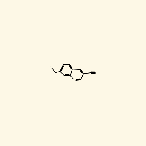 N#Cc1cnc2cc(CN)ccc2c1